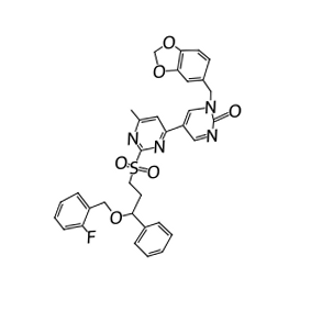 Cc1cc(-c2cnc(=O)n(Cc3ccc4c(c3)OCO4)c2)nc(S(=O)(=O)CCC(OCc2ccccc2F)c2ccccc2)n1